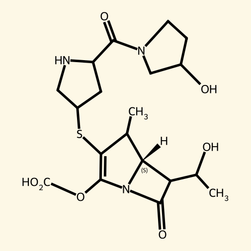 CC(O)C1C(=O)N2C(OC(=O)O)=C(SC3CNC(C(=O)N4CCC(O)C4)C3)C(C)[C@H]12